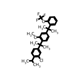 COc1cc(C(C)(C)c2ccccc2OC(F)(F)F)ccc1C(C)(C)c1ccc(C(C)C)c(Cl)c1